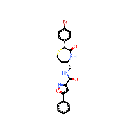 O=C(NC[C@@H]1CCS[C@H](c2ccc(Br)cc2)C(=O)N1)c1cc(-c2ccccc2)on1